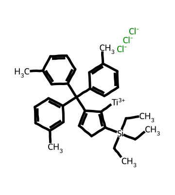 CC[Si](CC)(CC)C1=[C]([Ti+3])C(C(c2cccc(C)c2)(c2cccc(C)c2)c2cccc(C)c2)=CC1.[Cl-].[Cl-].[Cl-]